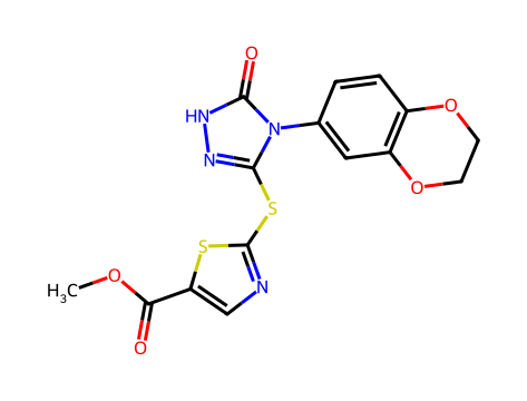 COC(=O)c1cnc(Sc2n[nH]c(=O)n2-c2ccc3c(c2)OCCO3)s1